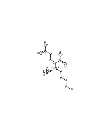 CCCCCNC(CCC(=O)[O-])C(=O)[O-].[Na+].[Na+]